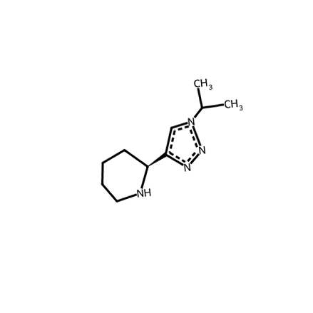 CC(C)n1cc([C@@H]2CCCCN2)nn1